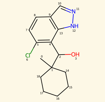 CC1(C(O)c2c(Cl)ccc3cn[nH]c23)CCCCC1